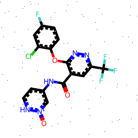 O=C(Nc1cc[nH][n+](=O)c1)c1cc(C(F)(F)F)nnc1Oc1ccc(F)cc1Cl